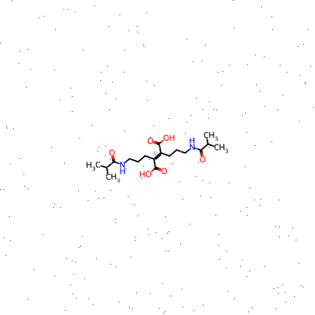 CC(C)C(=O)NCCC/C(C(=O)O)=C(/CCCNC(=O)C(C)C)C(=O)O